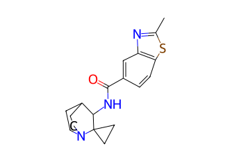 Cc1nc2cc(C(=O)NC3C4CCN(CC4)C34CC4)ccc2s1